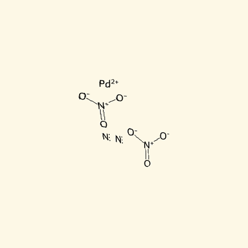 O=[N+]([O-])[O-].O=[N+]([O-])[O-].[N].[N].[Pd+2]